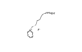 CCCCCCCCCCCC[n+]1ccccc1.[F-]